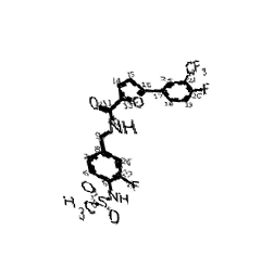 CS(=O)(=O)Nc1ccc(CNC(=O)c2ccc(-c3ccc(F)c(C(F)(F)F)c3)o2)cc1F